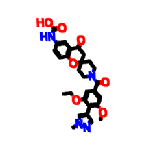 CCOc1cc(C(=O)N2CCC3(CC2)CC(=O)c2cc(NC(=O)O)ccc2O3)cc(OC)c1-c1cnn(C)c1